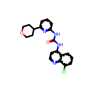 O=C(Nc1cccc(C2CCOCC2)n1)Nc1ccnc2c(Cl)cccc12